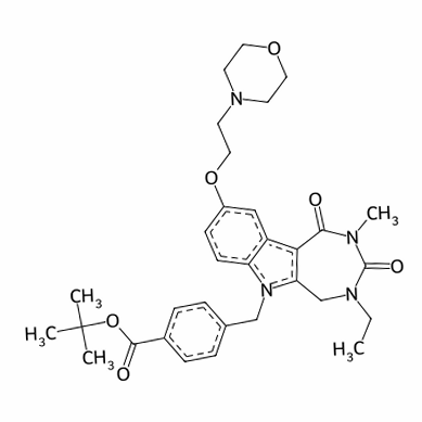 CCN1Cc2c(c3cc(OCCN4CCOCC4)ccc3n2Cc2ccc(C(=O)OC(C)(C)C)cc2)C(=O)N(C)C1=O